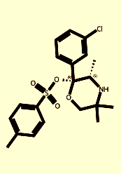 Cc1ccc(S(=O)(=O)O[C@@]2(c3cccc(Cl)c3)OCC(C)(C)N[C@H]2C)cc1